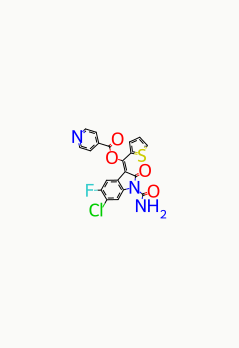 NC(=O)N1C(=O)/C(=C(/OC(=O)c2ccncc2)c2cccs2)c2cc(F)c(Cl)cc21